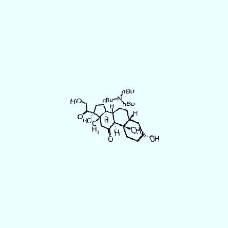 CCCCN(CCCC)CCCC.C[C@]12CC[C@@H](O)C[C@H]1CC[C@@H]1[C@@H]2C(=O)C[C@@]2(C)[C@H]1CC[C@]2(O)C(=O)CO